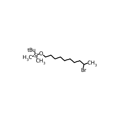 CC(Br)CCCCCCCCO[Si](C)(C)C(C)(C)C